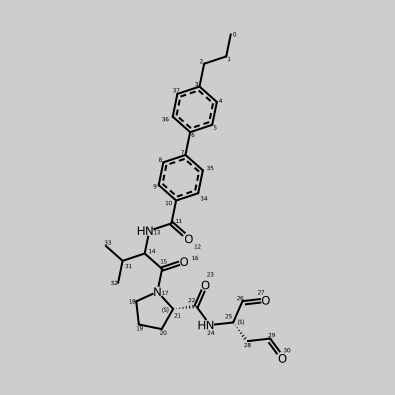 CCCc1ccc(-c2ccc(C(=O)NC(C(=O)N3CCC[C@H]3C(=O)N[C@H](C=O)CC=O)C(C)C)cc2)cc1